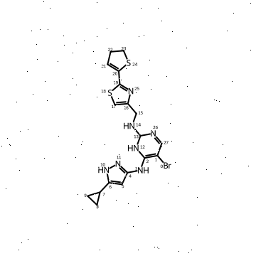 BrC1=C(Nc2cc(C3CC3)[nH]n2)NC(NCc2csc(C3=CCCS3)n2)N=C1